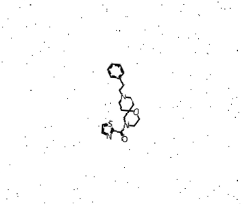 O=C(c1nccs1)N1CCOC2(CCN(CCc3ccccc3)CC2)C1